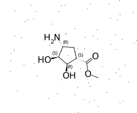 COC(=O)[C@H]1C[C@@H](N)[C@H](O)[C@@H]1O